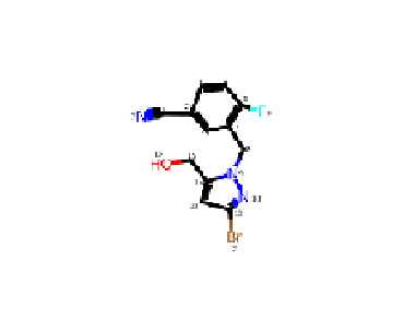 N#Cc1ccc(F)c(Cn2nc(Br)cc2CO)c1